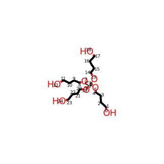 OCCCCO[Si](OCCCCO)(OCCCCO)OCCCCO